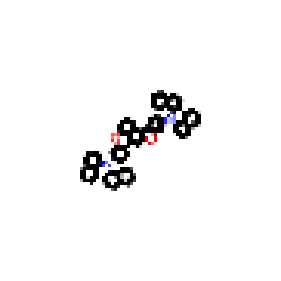 C1=CC2=C(N(c3ccc4c(c3)Oc3cccc5c3c-4cc3oc4cc(N(c6cccc7ccccc67)c6cccc7ccccc67)ccc4c35)c3cccc4c3C=CCC4)C=CCC2C=C1